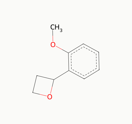 COc1ccccc1C1CCO1